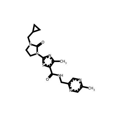 Cc1cnc(CNC(=O)c2sc(N3CCN(CC4CC4)C3=O)nc2C)cn1